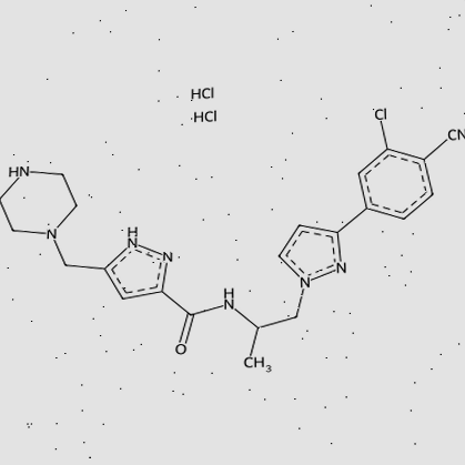 CC(Cn1ccc(-c2ccc(C#N)c(Cl)c2)n1)NC(=O)c1cc(CN2CCNCC2)[nH]n1.Cl.Cl